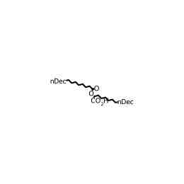 CCCCCCCCCCCCCCCCCC(=O)OC(CCCCCCCCCCCCCCCC)C(=O)O